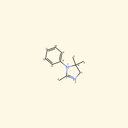 CC1=NCC(C)(C)N1c1ccccc1